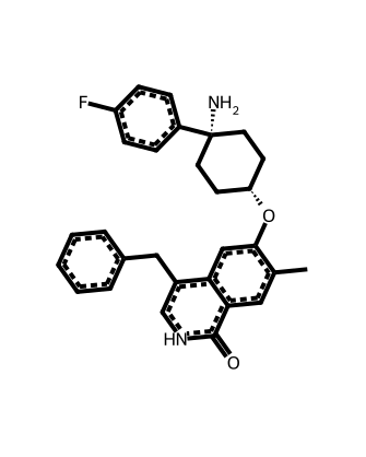 Cc1cc2c(=O)[nH]cc(Cc3ccccc3)c2cc1O[C@H]1CC[C@](N)(c2ccc(F)cc2)CC1